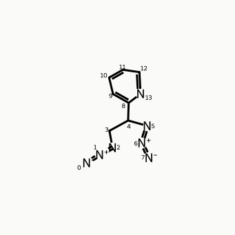 [N-]=[N+]=NCC(N=[N+]=[N-])c1ccccn1